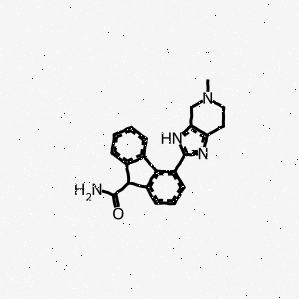 CN1CCc2nc(-c3cccc4c3-c3ccccc3C4C(N)=O)[nH]c2C1